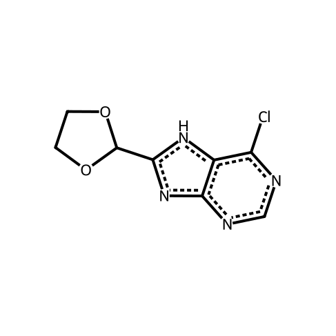 Clc1ncnc2nc(C3OCCO3)[nH]c12